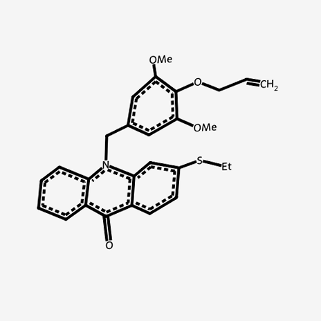 C=CCOc1c(OC)cc(Cn2c3ccccc3c(=O)c3ccc(SCC)cc32)cc1OC